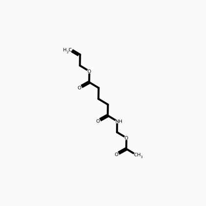 C=CCOC(=O)CCCC(=O)NCOC(C)=O